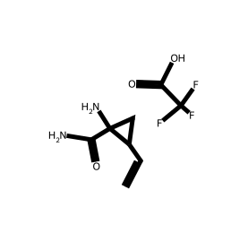 C=CC1CC1(N)C(N)=O.O=C(O)C(F)(F)F